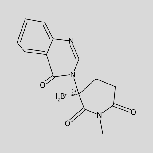 B[C@]1(n2cnc3ccccc3c2=O)CCC(=O)N(C)C1=O